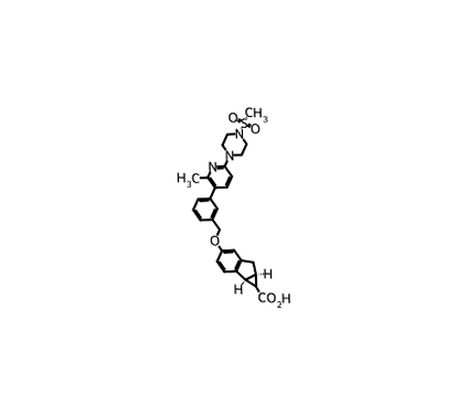 Cc1nc(N2CCN(S(C)(=O)=O)CC2)ccc1-c1cccc(COc2ccc3c(c2)C[C@H]2C(C(=O)O)[C@@H]32)c1